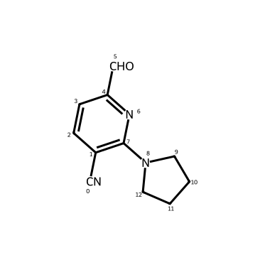 N#Cc1ccc(C=O)nc1N1CCCC1